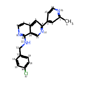 Cc1cc(-c2cc3ccnc(NCc4ccc(Cl)cc4)c3cn2)ccn1